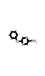 Nc1cnc(Oc2[c]cccc2)cn1